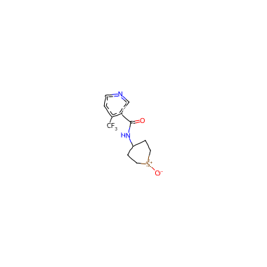 O=C(NC1CC[S+]([O-])CC1)c1cnccc1C(F)(F)F